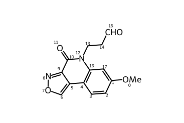 COc1ccc2c3conc3c(=O)n(CCC=O)c2c1